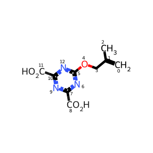 C=C(C)COc1nc(C(=O)O)nc(C(=O)O)n1